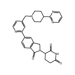 O=C1CCC(N2Cc3cc(-c4cc(CN5CCC(c6ncccn6)CC5)ccn4)ccc3C2=O)C(=O)N1